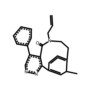 C=CCN1CCC2=C=CC(=CC2C)c2nncc(-c3ccccc3)c2C1=O